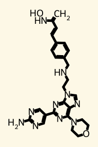 C=C(/C=C/c1ccc(CNCCn2cnc3c(N4CCOCC4)nc(-c4cnc(N)nc4)nc32)cc1)NO